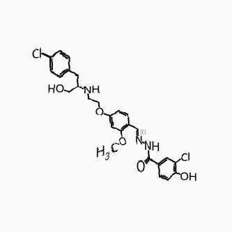 COc1cc(OCCNC(CO)Cc2ccc(Cl)cc2)ccc1/C=N/NC(=O)c1ccc(O)c(Cl)c1